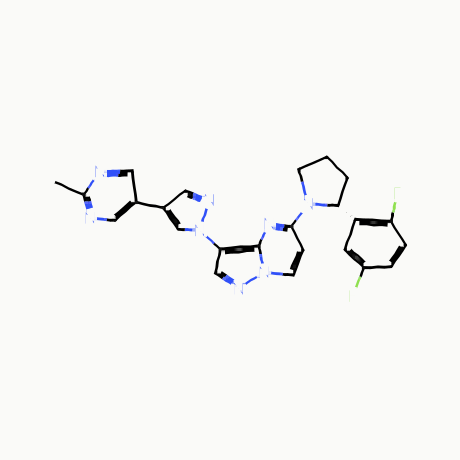 Cc1ncc(-c2cnn(-c3cnn4ccc(N5CCC[C@@H]5c5cc(F)ccc5F)nc34)c2)cn1